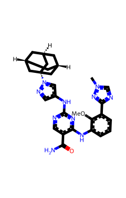 COc1c(Nc2nc(Nc3cnn([C@]45C[C@H]6C[C@H](C[C@H](C6)C4)C5)c3)ncc2C(N)=O)cccc1-c1ncn(C)n1